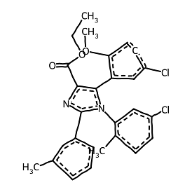 CCOC(=O)c1nc(-c2cccc(C)c2)n(-c2cc(Cl)ccc2C)c1-c1cc(Cl)ccc1OC